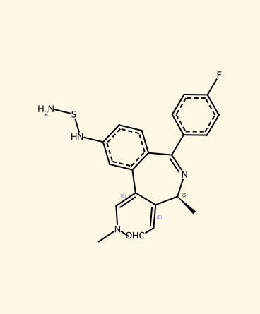 C[C@@H]1N=C(c2ccc(F)cc2)c2ccc(NSN)cc2C(=C/N(C)C)/C1=C\C=O